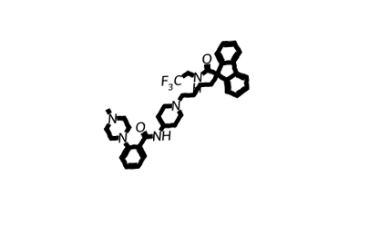 CN1CCN(c2ccccc2C(=O)NC2CCN(CCCCC3(C(=O)NCC(F)(F)F)c4ccccc4-c4ccccc43)CC2)CC1